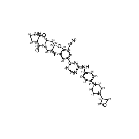 N#Cc1cc(-c2ncnc(Nc3ccc(N4CCN(C5COC5)CC4)cc3)n2)ccc1O[C@H]1CCN(C(=O)C2CCNC2=O)C[C@@H]1F